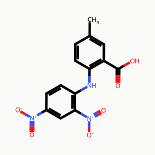 Cc1ccc(Nc2ccc([N+](=O)[O-])cc2[N+](=O)[O-])c(C(=O)O)c1